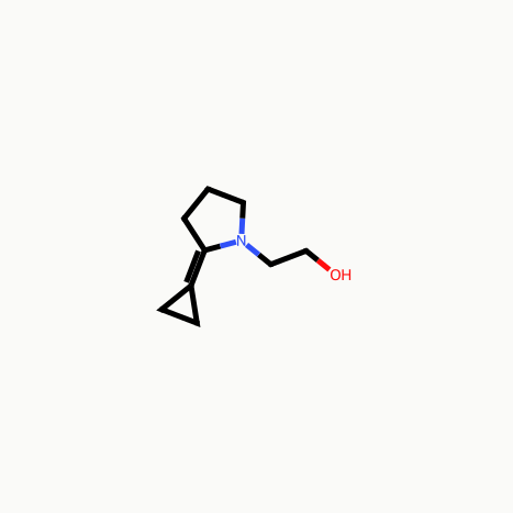 OCCN1CCCC1=C1CC1